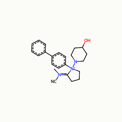 C[N+](C#N)=C1CCC[N+]1(c1ccc(-c2ccccc2)cc1)N1CCC(O)CC1